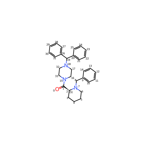 O=C([C@@H]1CCCCN1Cc1ccccc1)N1CCN(C(c2ccccc2)c2ccccc2)CC1